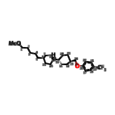 COCCCCC[C@H]1CC[Si@H]([C@H]2CC[C@H](COc3ccc(C(F)(F)F)cc3)CC2)CC1